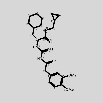 COc1ccc(CC(=O)NC(=N)N[C@H](CC2CCCCC2)C(=O)NCC2CC2)cc1OC